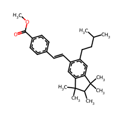 COC(=O)c1ccc(C=Cc2cc3c(cc2CCC(C)C)C(C)(C)C(C)C3(C)C)cc1